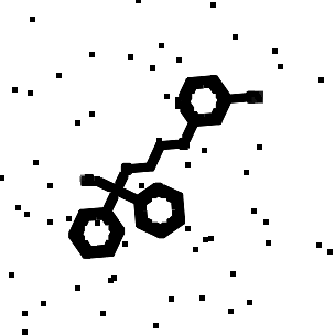 CC(C)(C)[Si](OCCOc1cc(C#N)ccn1)(c1ccccc1)c1ccccc1